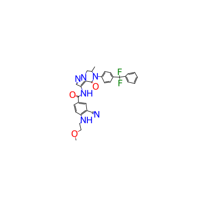 COCCNc1ccc(C(=O)Nc2cnn3c2C(=O)N(c2ccc(C(F)(F)c4ccccc4)cc2)C(C)C3)cc1C#N